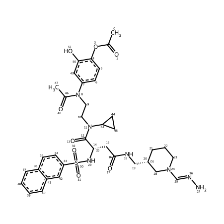 CC(=O)Oc1ccc(N(CCN(C(=O)[C@H](CC(=O)NC[C@@H]2CCCN(C=NN)C2)NS(=O)(=O)c2ccc3ccccc3c2)C2CC2)C(C)=O)cc1O